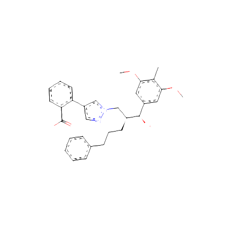 COc1cc([C@@H](O)[C@@H](CCCc2ccccc2)Cn2cc(-c3ccccc3C(=O)O)cn2)cc(OC)c1C